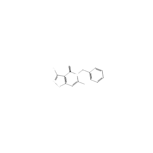 Cc1cc2[nH]nc(N)c2c(=O)n1Cc1ccccc1